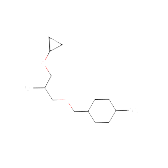 CC1CCC(COCC(C)COC2CC2)CC1